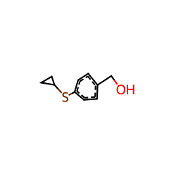 OCc1ccc(SC2CC2)cc1